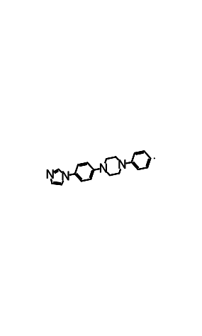 [c]1ccc(N2CCN(c3ccc(-n4ccnc4)cc3)CC2)cc1